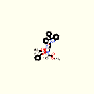 COC(=O)[C@H](C)N(C[C@@H](CC(=O)NC(c1ccccc1)(c1ccccc1)c1ccccc1)NC(=O)OC(C)(C)C)C(=O)OCc1ccccc1